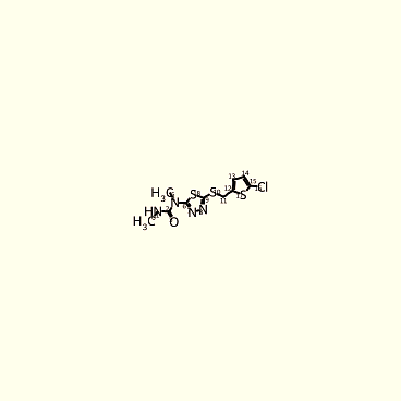 CNC(=O)N(C)c1nnc(SCc2ccc(Cl)s2)s1